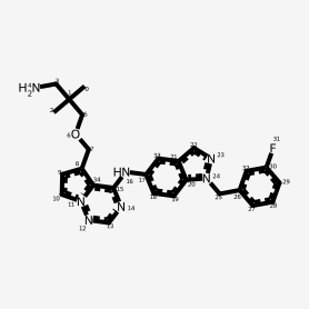 CC(C)(CN)COCc1ccn2ncnc(Nc3ccc4c(cnn4Cc4cccc(F)c4)c3)c12